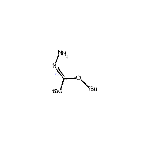 CCC(C)O/C(=N\N)C(C)(C)C